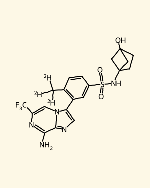 [2H]C([2H])([2H])c1ccc(S(=O)(=O)NC23CCC(O)(C2)C3)cc1-c1cnc2c(N)nc(C(F)(F)F)cn12